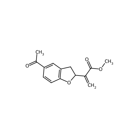 C=C(C(=O)OC)C1Cc2cc(C(C)=O)ccc2O1